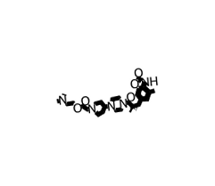 Cc1cc(C[C@@H](C)C(=O)N2CCN(C3CCN(CC(=O)OCCN(C)C)CC3)CC2)cc2oc(=O)[nH]c12